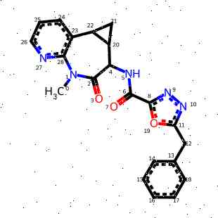 CN1C(=O)C(NC(=O)c2nnc(Cc3ccccc3)o2)C2CC2c2cccnc21